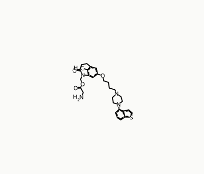 Cc1c2cc(OCCCCN3CCN(c4cccc5sccc45)CC3)cc1N(COC(=O)CN)C(=O)CC2